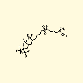 CN(C)CCCNS(=O)(=O)CCCCC(C[C@@H](CC(F)(C(F)(F)F)C(F)(F)F)C(F)(F)F)C(F)(F)F